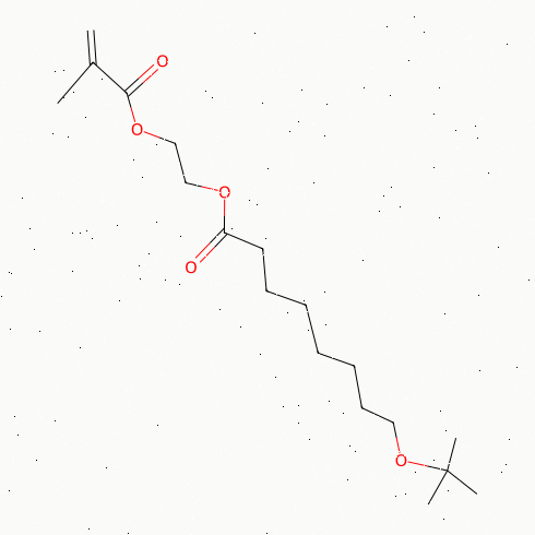 C=C(C)C(=O)OCCOC(=O)CCCCCCCOC(C)(C)C